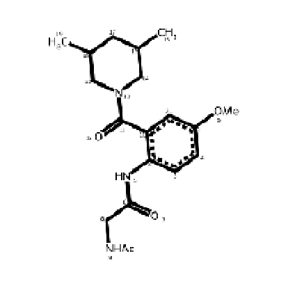 COc1ccc(NC(=O)CNC(C)=O)c(C(=O)N2CC(C)CC(C)C2)c1